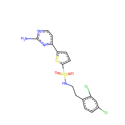 Nc1nccc(-c2ccc(S(=O)(=O)NCCc3ccc(Cl)cc3Cl)s2)n1